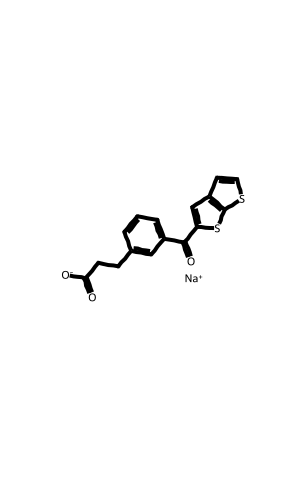 O=C([O-])CCc1cccc(C(=O)c2cc3ccsc3s2)c1.[Na+]